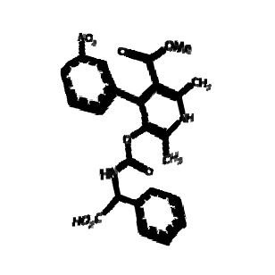 COC(=O)C1=C(C)NC(C)=C(OC(=O)NC(C(=O)O)c2ccccc2)C1c1cccc([N+](=O)[O-])c1